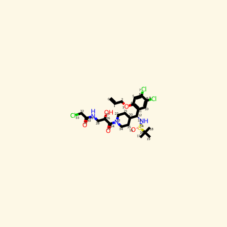 C=CCOc1cc(Cl)c(Cl)cc1[C@H](N[S+]([O-])C(C)(C)C)C1CCN(C(=O)C(O)CNC(=O)CCl)CC1